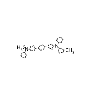 Cc1cccc(N(c2ccccc2)c2ccc(-c3ccc(-c4ccc(N(C)c5ccccc5)cc4)cc3)cc2)c1